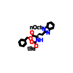 CCCCCCCCn1c(CC[C@H](NC(=O)OC(C)(C)C)C(=O)OCc2ccccc2)nc2ccccc21